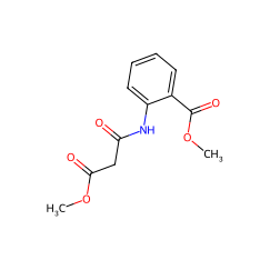 COC(=O)CC(=O)Nc1ccccc1C(=O)OC